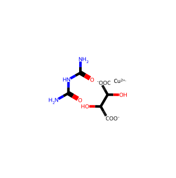 NC(=O)NC(N)=O.O=C([O-])C(O)C(O)C(=O)[O-].[Cu+2]